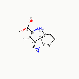 Cc1cccc2[nH]cc([C@H](C)[C@H](N)C(=O)O)c12